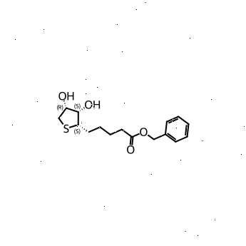 O=C(CCCC[C@@H]1SC[C@H](O)[C@@H]1O)OCc1ccccc1